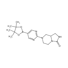 CC1(C)OB(c2cnc(N3CCN4C(=O)NCC4C3)nc2)OC1(C)C